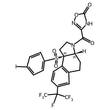 O=C(c1noc(=O)[nH]1)N1CC[C@@]2(S(=O)(=O)c3ccc(I)cc3)c3ccc(C(F)(C(F)(F)F)C(F)(F)F)cc3CC[C@@H]12